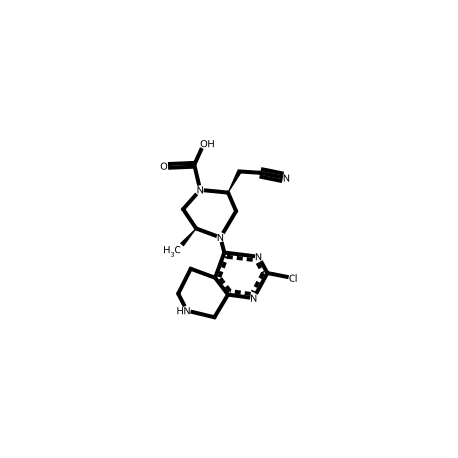 C[C@H]1CN(C(=O)O)[C@@H](CC#N)CN1c1nc(Cl)nc2c1CCNC2